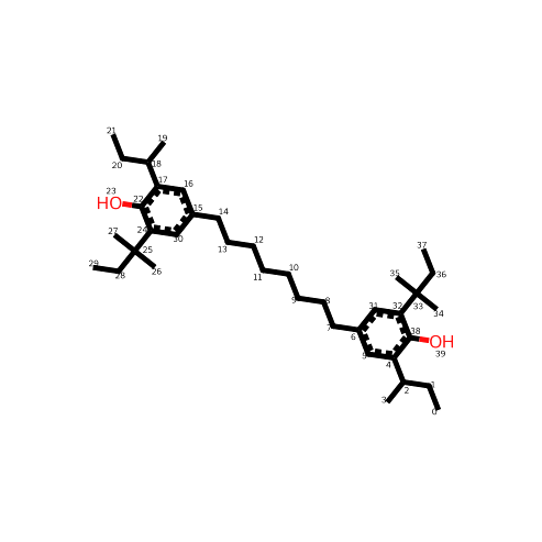 CCC(C)c1cc(CCCCCCCCc2cc(C(C)CC)c(O)c(C(C)(C)CC)c2)cc(C(C)(C)CC)c1O